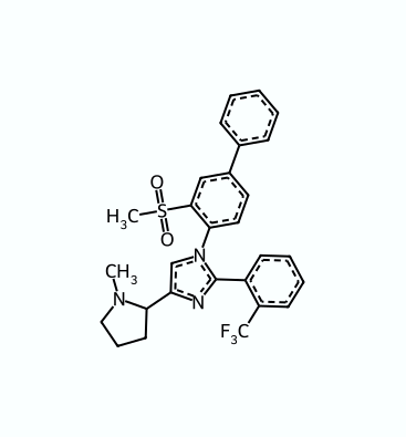 CN1CCCC1c1cn(-c2ccc(-c3ccccc3)cc2S(C)(=O)=O)c(-c2ccccc2C(F)(F)F)n1